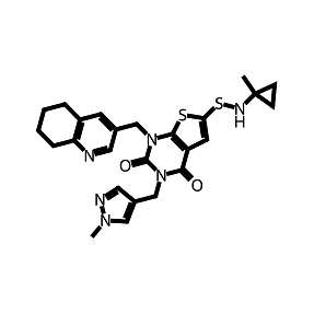 Cn1cc(Cn2c(=O)c3cc(SNC4(C)CC4)sc3n(Cc3cnc4c(c3)CCCC4)c2=O)cn1